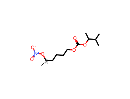 CC(C)C(C)OC(=O)OCCCC[C@H](C)O[N+](=O)[O-]